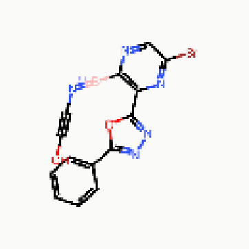 OC#C/N=B/c1ncc(Br)nc1-c1nnc(-c2ccccc2)o1